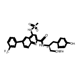 COC[C@H](Cc1ccc(O)cc1)NC(=O)c1cc(NS(C)(=O)=O)c2cc(-c3cccc(C(F)(F)F)c3)ccc2n1